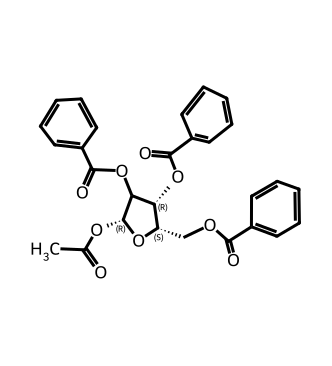 CC(=O)O[C@H]1O[C@@H](COC(=O)c2ccccc2)[C@@H](OC(=O)c2ccccc2)C1OC(=O)c1ccccc1